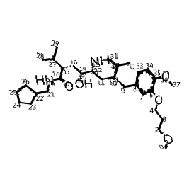 COCCCOc1cc(C[C@@H](C[C@H](N)[C@@H](O)C[C@H](C(=O)NCC2CCCC2)C(C)C)C(C)C)ccc1OC